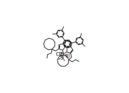 CCCC1(CC2=Cc3c(-c4cc(C)cc(C)c4)cccc3[CH]2[Zr]([Cl])([Cl])([CH]2C(CC3(CCC)CCCCCCCC3)=Cc3c(-c4cc(C)cc(C)c4)cccc32)[SiH](C)C)CCCCCCCC1